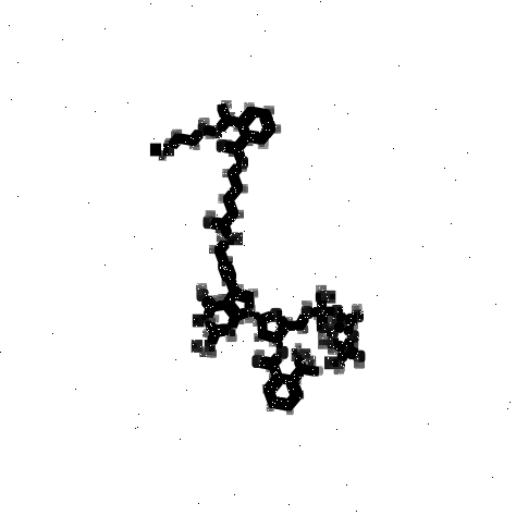 CC(N)c1ccccc1C(=O)O[C@@H]1C[C@H](n2cc(C#CCNC(=O)CCCCOC(=O)c3ccccc3C(C)SSCCN)c3c(=O)[nH]c(N)nc32)OC1COP(=O)(O)OP(=O)(O)OP(=O)(O)O